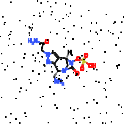 NC[C@@H]1c2nn(CC(N)=O)cc2[C@@H]2CN1C(=O)N2OS(=O)(=O)O